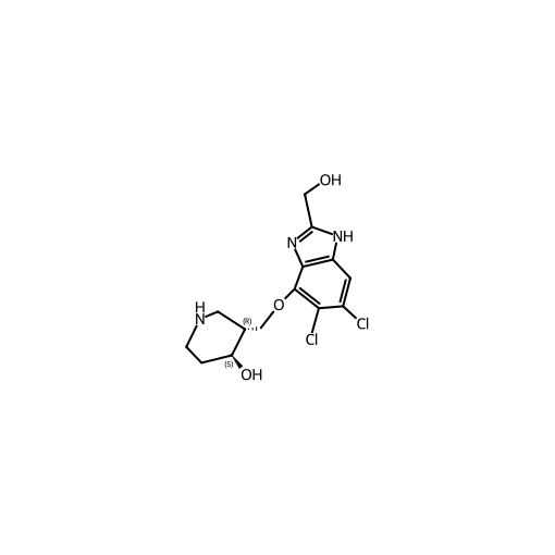 OCc1nc2c(OC[C@H]3CNCC[C@@H]3O)c(Cl)c(Cl)cc2[nH]1